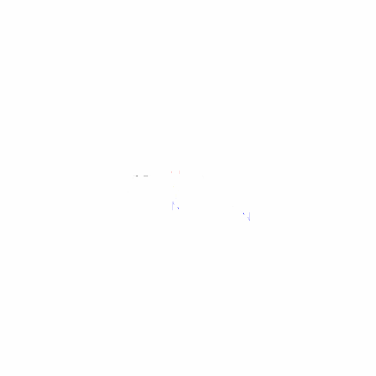 CN=S(=O)(c1ccccc1)c1cc(C#N)sc1Cl